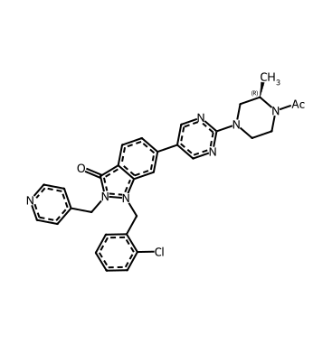 CC(=O)N1CCN(c2ncc(-c3ccc4c(=O)n(Cc5ccncc5)n(Cc5ccccc5Cl)c4c3)cn2)C[C@H]1C